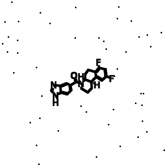 O=C(c1ccc2[nH]cnc2c1)N1CCC[C@@H]2c3cc(F)cc(F)c3CC[C@@H]21